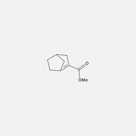 COC(=O)C1=C2CCC(C2)C1